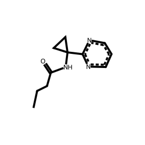 CCCC(=O)NC1(c2ncccn2)CC1